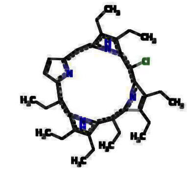 CCC1=C(CC)c2nc1c(Cl)c1[nH]c(cc3nc(c(CC)c4[nH]c(c2CC)c(CC)c4CC)C=C3)c(CC)c1CC